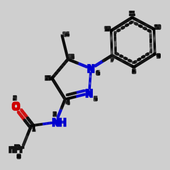 CCCC(=O)NC1=NN(c2ccccc2)C(C)C1